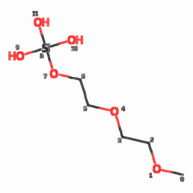 COCCOCCO[Si](O)(O)O